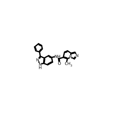 Cc1c(C(=O)Nc2ccc3[nH]nc(-c4ccccc4)c3c2)ccc2cncn12